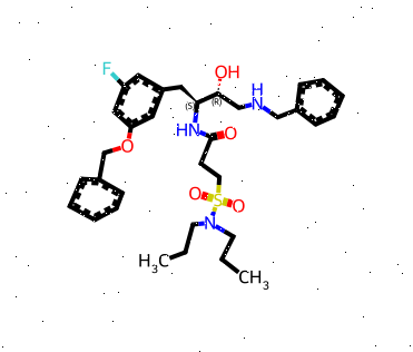 CCCN(CCC)S(=O)(=O)CCC(=O)N[C@@H](Cc1cc(F)cc(OCc2ccccc2)c1)[C@H](O)CNCc1ccccc1